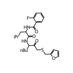 CCCCC(NC(=O)C(CC(C)C)NC(=O)c1ccccc1F)C(=O)CSCc1ccco1